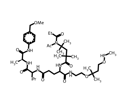 CCC(=O)N(C(C)=O)C(C)(C)CC(C)(C)C(=O)NC(CCC(=O)NC(C(=O)N[C@@H](C)C(=O)Nc1ccc(COC)cc1)C(C)C)C(=O)NCCOC(C)(C)CCOPC